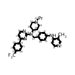 Cc1cnccc1Nc1ccc(CN(c2nccc(-c3ccc(C(F)(F)F)cc3)n2)C2CCN(C(C)C)CC2)cc1